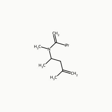 C=C(C)CC(C)N(C)C(=C)C(C)C